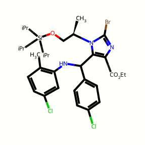 CCOC(=O)c1nc(Br)n([C@H](C)CO[Si](C(C)C)(C(C)C)C(C)C)c1C(Nc1cc(Cl)ccc1C)c1ccc(Cl)cc1